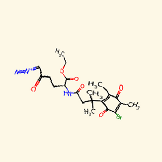 CCOC(=O)[C@H](CCC(=O)C=[N+]=[N-])NC(=O)CC(C)(C)C1=C(C)C(=O)C(C)=C(Br)C1=O